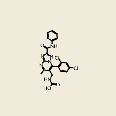 Cc1nc2nc(C(=O)Nc3ccccc3)nn2c(-c2ccc(Cl)cc2Cl)c1CNC(=O)O